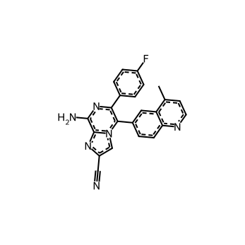 Cc1ccnc2ccc(-c3c(-c4ccc(F)cc4)nc(N)c4nc(C#N)cn34)cc12